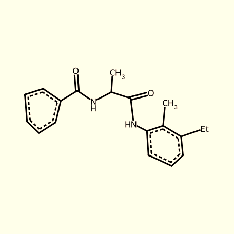 CCc1cccc(NC(=O)C(C)NC(=O)c2ccccc2)c1C